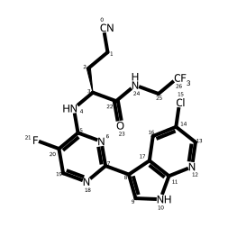 N#CCC[C@H](Nc1nc(-c2c[nH]c3ncc(Cl)cc23)ncc1F)C(=O)NCC(F)(F)F